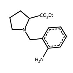 CCOC(=O)C1CCCN1Cc1ccccc1N